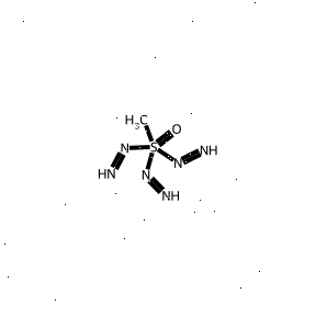 CS(=O)(N=N)(N=N)N=N